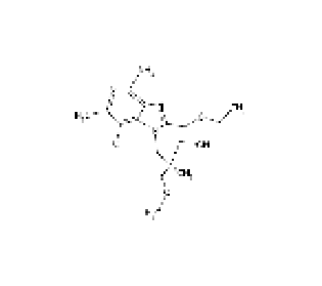 CCOCc1nc2c(N)nc(C)c(C)c2n1C[C@@](C)(CO)COC